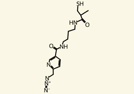 CC(CS)C(=O)NCCCCNC(=O)c1ccc(CN=[N+]=[N-])nc1